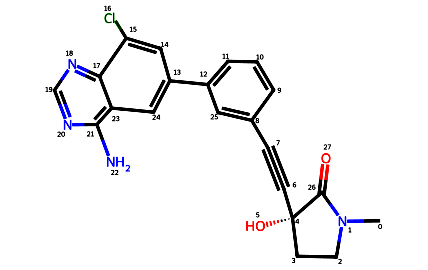 CN1CC[C@@](O)(C#Cc2cccc(-c3cc(Cl)c4ncnc(N)c4c3)c2)C1=O